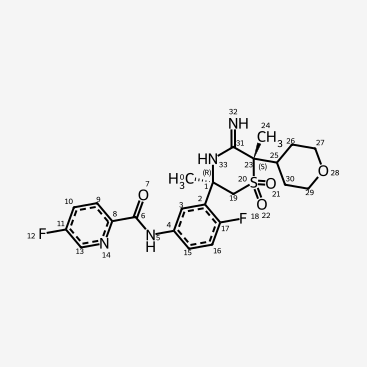 C[C@@]1(c2cc(NC(=O)c3ccc(F)cn3)ccc2F)CS(=O)(=O)[C@@](C)(C2CCOCC2)C(=N)N1